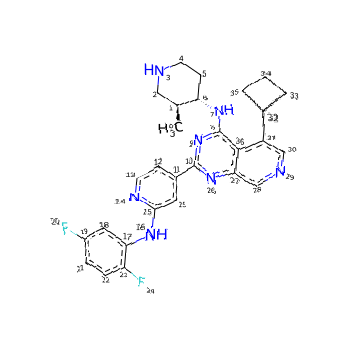 C[C@H]1CNCC[C@@H]1Nc1nc(-c2ccnc(Nc3cc(F)ccc3F)c2)nc2cncc(C3CCC3)c12